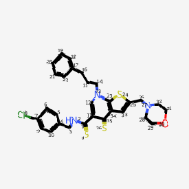 S=C(NCc1ccc(Cl)cc1)c1cn(CCCc2ccccc2)c2sc(CN3CCOCC3)cc2c1=S